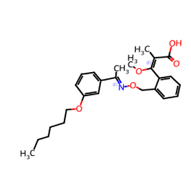 CCCCCCOc1cccc(/C(C)=N/OCc2ccccc2/C(OC)=C(/C)C(=O)O)c1